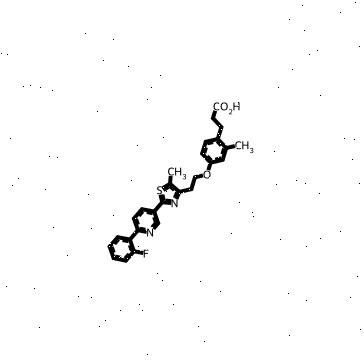 Cc1cc(OCCc2nc(-c3ccc(-c4ccccc4F)nc3)sc2C)ccc1CCC(=O)O